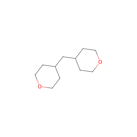 C1CC(CC2CCOCC2)CCO1